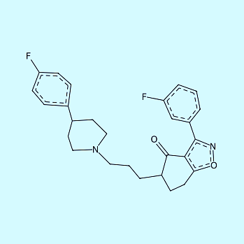 O=C1c2c(-c3cccc(F)c3)noc2CCC1CCCN1CCC(c2ccc(F)cc2)CC1